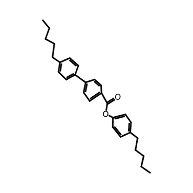 CCCCCc1ccc(OC(=O)c2ccc(-c3ccc(CCCCC)cc3)cc2)cc1